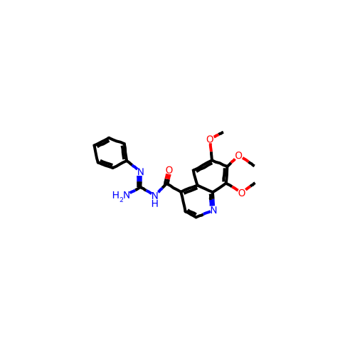 COc1cc2c(C(=O)NC(N)=Nc3ccccc3)ccnc2c(OC)c1OC